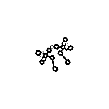 O=C1C(Cc2ccccc2)=C(c2ccc(Oc3ccc(C4=C(Cc5ccccc5)C(=O)C(Cc5ccccc5)=C4c4cccc(C#Cc5ccccc5)c4)cc3)cc2)C(c2cccc(C#Cc3ccccc3)c2)=C1Cc1ccccc1